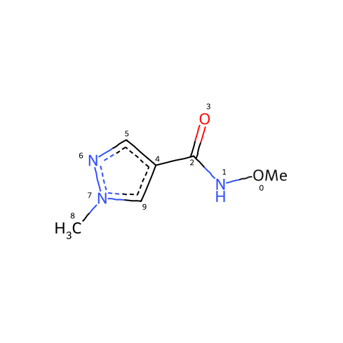 CONC(=O)c1cnn(C)c1